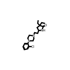 CCC1(CC)CC(CCN2CCN(c3ccccc3Cl)CC2)NC1=O